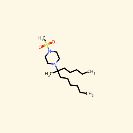 CCCCCCC(C)(CCCCC)N1CCN(S(C)(=O)=O)CC1